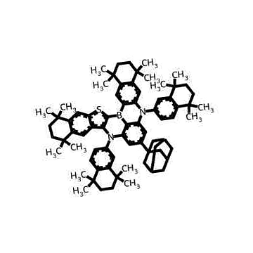 CC1(C)CCC(C)(C)c2cc(N3c4cc5c(cc4B4c6sc7cc8c(cc7c6N(c6ccc7c(c6)C(C)(C)CCC7(C)C)c6cc(C79CC%10CC(CC(C%10)C7)C9)cc3c64)C(C)(C)CCC8(C)C)C(C)(C)CCC5(C)C)ccc21